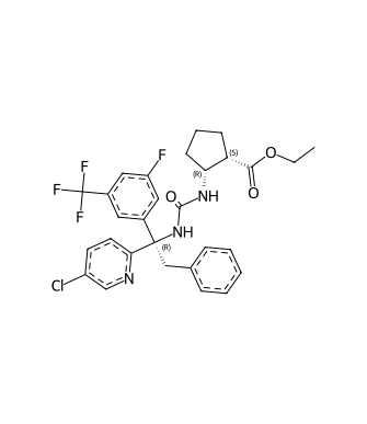 CCOC(=O)[C@H]1CCC[C@H]1NC(=O)N[C@](Cc1ccccc1)(c1cc(F)cc(C(F)(F)F)c1)c1ccc(Cl)cn1